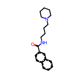 O=C(NCCCCN1CC[CH]CC1)c1ccc2ccccc2c1